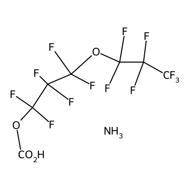 N.O=C(O)OC(F)(F)C(F)(F)C(F)(F)OC(F)(F)C(F)(F)C(F)(F)F